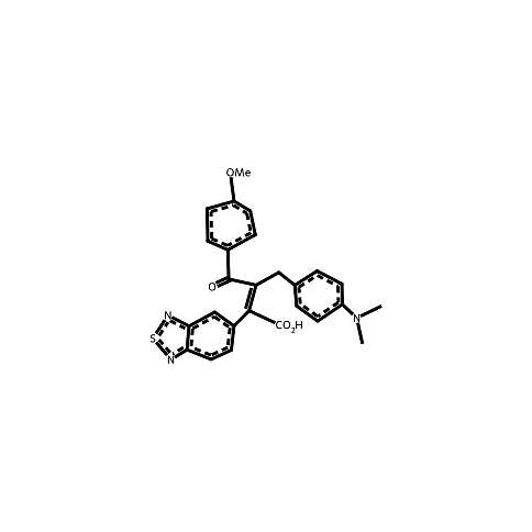 COc1ccc(C(=O)C(Cc2ccc(N(C)C)cc2)=C(C(=O)O)c2ccc3nsnc3c2)cc1